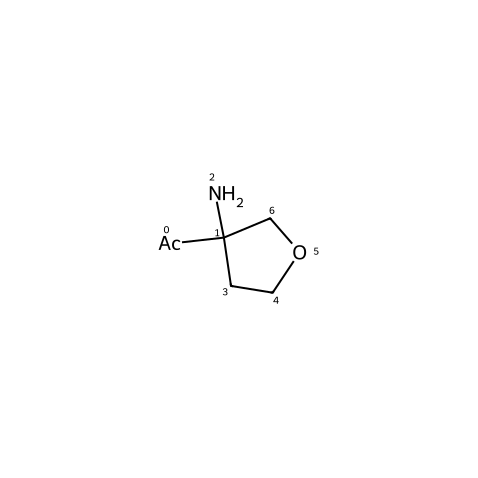 CC(=O)C1(N)CCOC1